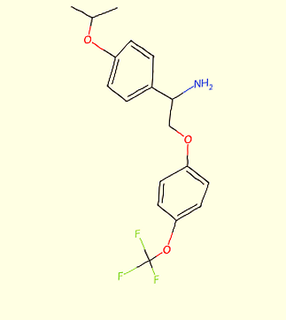 CC(C)Oc1ccc(C(N)COc2ccc(OC(F)(F)F)cc2)cc1